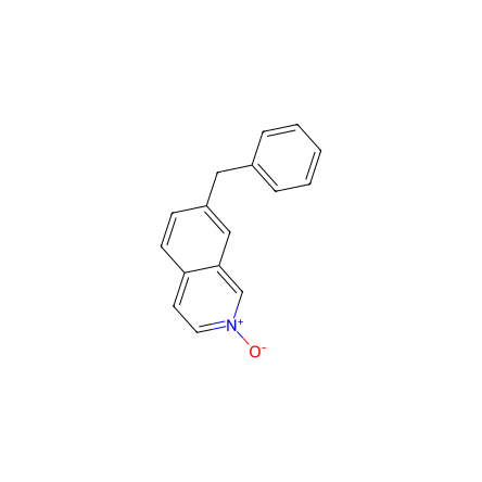 [O-][n+]1ccc2ccc(Cc3ccccc3)cc2c1